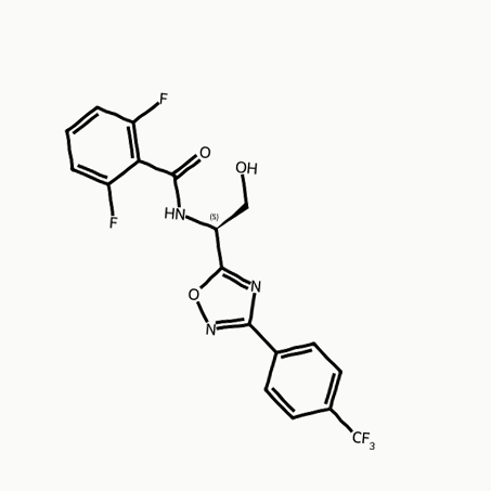 O=C(N[C@@H](CO)c1nc(-c2ccc(C(F)(F)F)cc2)no1)c1c(F)cccc1F